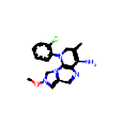 CON1C=C2C=NC3=C(N2C1)N(c1ccccc1Cl)CC(C)=C3N